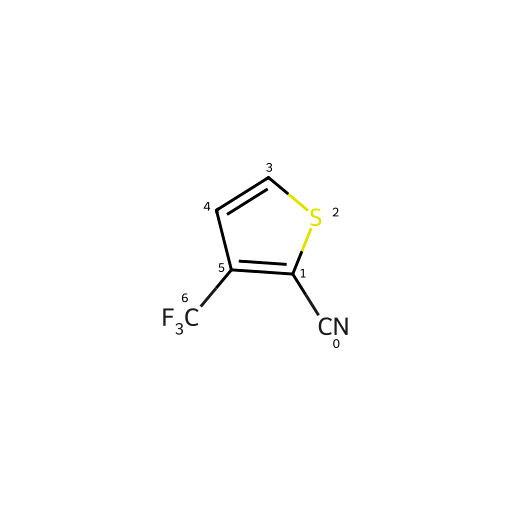 N#Cc1sccc1C(F)(F)F